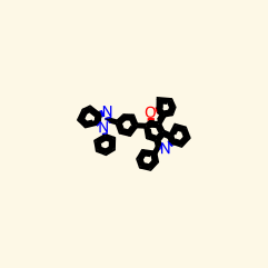 c1ccc(-c2nc3ccccc3c3c2cc(-c2ccc(-c4nc5ccccc5n4-c4ccccc4)cc2)c2oc4ccccc4c23)cc1